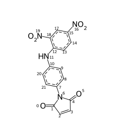 O=C1C=CC(=O)N1c1ccc(Nc2ccc([N+](=O)[O-])cc2[N+](=O)[O-])cc1